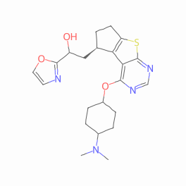 CN(C)C1CCC(Oc2ncnc3sc4c(c23)[C@@H](CC(O)c2ncco2)CC4)CC1